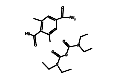 CCN(CC)C(=O)OC(=O)N(CC)CC.Cc1cc(C(N)=O)cc(C)c1C(=O)O